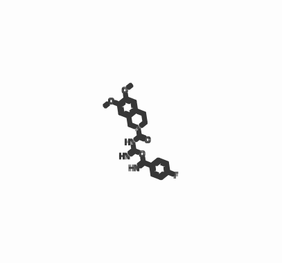 COc1cc2c(cc1OC)CN(C(=O)NC(=N)OC(=N)c1ccc(F)cc1)CC2